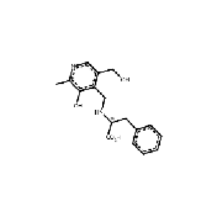 Cc1ncc(CO)c(CN[C@@H](Cc2ccccc2)C(=O)O)c1O